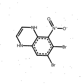 O=[N+]([O-])c1c(Br)c(Br)cc2c1NC=CN2